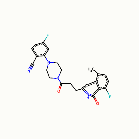 Cc1ccc(F)c2c(=O)[nH]c(CCC(=O)N3CCN(c4cc(F)ccc4C#N)CC3)cc12